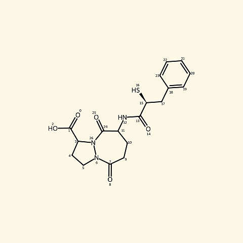 O=C(O)C1CCN2C(=O)CCC(NC(=O)[C@@H](S)Cc3ccccc3)C(=O)N12